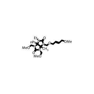 CCCC12N(CC)C(=O)N(COC/C=C/COC)C1(C)N(COC)C(=O)N2COC